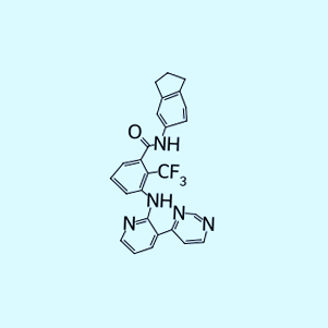 O=C(Nc1ccc2c(c1)CCC2)c1cccc(Nc2ncccc2-c2ccncn2)c1C(F)(F)F